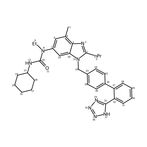 CCCc1nc2c(C)cc(N(CC)C(=O)NC3CCCCC3)cc2n1Cc1ccc(-c2ccccc2-c2nnn[nH]2)cc1